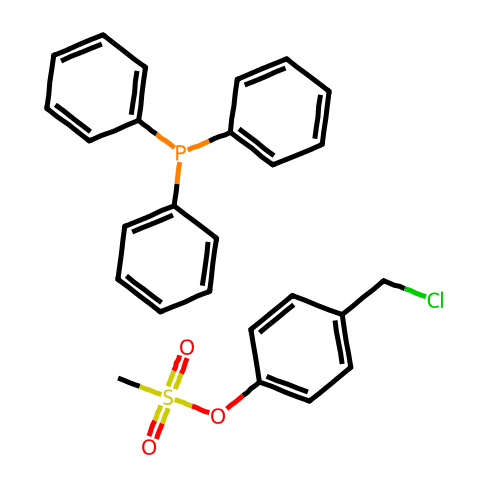 CS(=O)(=O)Oc1ccc(CCl)cc1.c1ccc(P(c2ccccc2)c2ccccc2)cc1